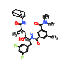 CCCN(CCC)C(=O)c1cc(C)cc(C(=O)N[C@@H](Cc2cc(F)cc(F)c2)[C@@H](O)C[C@@H](C)C(=O)NC2C3CC4CC(C3)CC2C4)c1